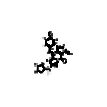 CCn1cnc2c1c(=O)n1nc(NC3CCCC3)cc1n2Cc1ccc(Cl)cc1